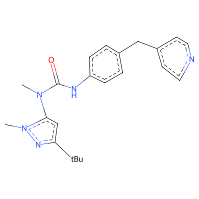 CN(C(=O)Nc1ccc(Cc2ccncc2)cc1)c1cc(C(C)(C)C)nn1C